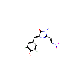 CN1C(=O)C(=Cc2cc(F)c(O)c(F)c2)N=C1C=C[N+](=O)[O-]